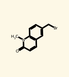 Cn1c(=O)ccc2cc(CBr)ccc21